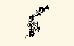 O=C(Nc1cc(OCc2cn3cc(C4CC4)ccc3n2)ccn1)OCc1cc(Cl)ccc1-n1cnnn1